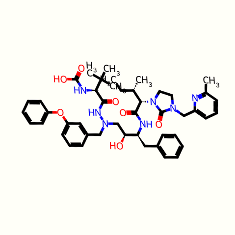 CC[C@H](C)[C@@H](C(=O)N[C@@H](Cc1ccccc1)[C@@H](O)CN(Cc1cccc(Oc2ccccc2)c1)NC(=O)[C@@H](NC(=O)O)C(C)(C)C)N1CCN(Cc2cccc(C)n2)C1=O